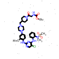 COc1cc(N2CCN(CC3CCN(C(=O)CNC(=O)OC(C)(C)C)CC3)CC2)ccc1Nc1ncc(Cl)c(Nc2ccccc2N(C)S(C)(=O)=O)n1